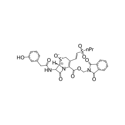 CCCS(=O)(=O)C=CC1=C(C(=O)OCN2C(=O)c3ccccc3C2=O)N2C(=O)C(NC(=O)Cc3cccc(O)c3)[C@@H]2[S+]([O-])C1